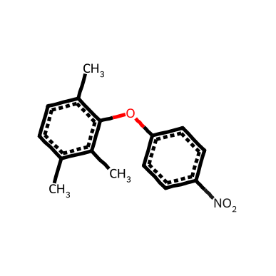 Cc1ccc(C)c(Oc2ccc([N+](=O)[O-])cc2)c1C